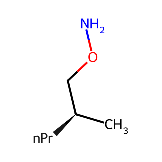 CCC[C@H](C)CON